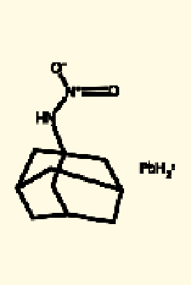 O=[N+]([O-])NC12CC3CC(CC(C3)C1)C2.[PbH2]